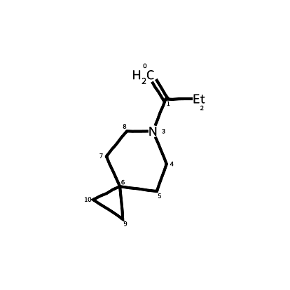 C=C(CC)N1CCC2(CC1)CC2